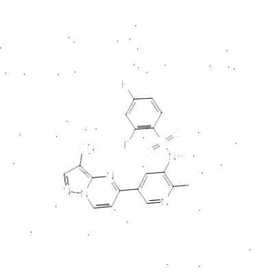 N#Cc1cnn2ccc(-c3cnc(Cl)c(NS(=O)(=O)c4ccc(F)cc4F)c3)nc12